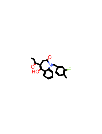 CCC(=O)C1=C(O)c2ccccc2N(Cc2ccc(C)c(F)c2)C(=O)C1